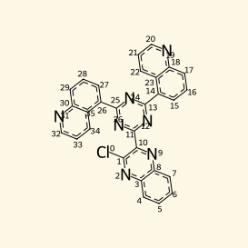 Clc1nc2ccccc2nc1-c1nc(-c2cccc3ncccc23)nc(-c2cccc3ncccc23)n1